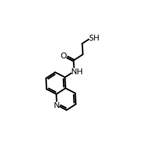 O=C(CCS)Nc1cccc2ncccc12